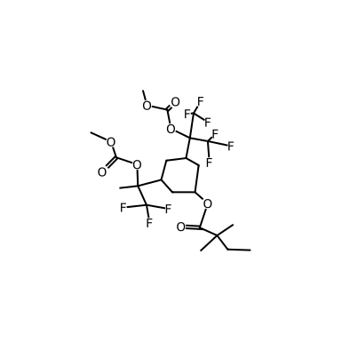 CCC(C)(C)C(=O)OC1CC(C(C)(OC(=O)OC)C(F)(F)F)CC(C(OC(=O)OC)(C(F)(F)F)C(F)(F)F)C1